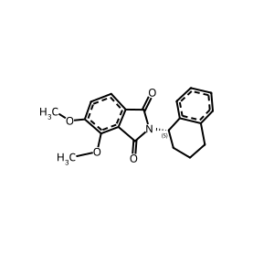 COc1ccc2c(c1OC)C(=O)N([C@H]1CCCc3ccccc31)C2=O